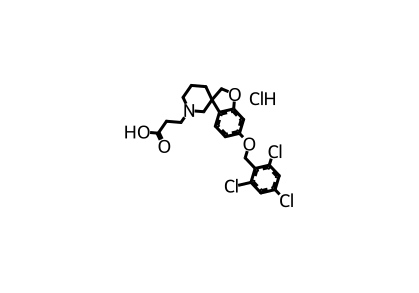 Cl.O=C(O)CCN1CCCC2(COc3cc(OCc4c(Cl)cc(Cl)cc4Cl)ccc32)C1